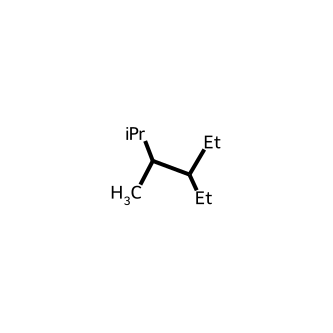 [CH2]CC(CC)C(C)C([CH2])C